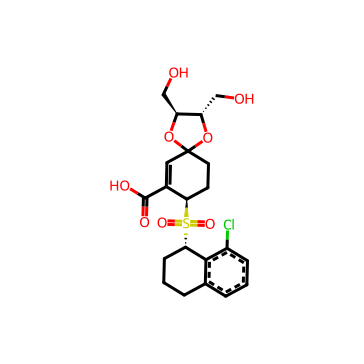 O=C(O)C1=CC2(CC[C@H]1S(=O)(=O)[C@H]1CCCc3cccc(Cl)c31)O[C@@H](CO)[C@H](CO)O2